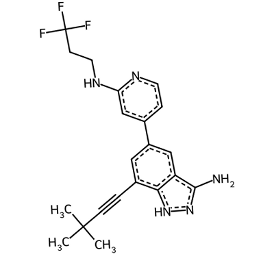 CC(C)(C)C#Cc1cc(-c2ccnc(NCCC(F)(F)F)c2)cc2c(N)n[nH]c12